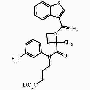 C=C(c1csc2ccccc12)N1CCC1(C)C(=O)N(CCCC(=O)OCC)c1cccc(C(F)(F)F)c1